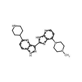 CN1CCN(c2ccnc3[nH]c(-c4n[nH]c5ccc(C6CCNCC6)nc45)nc23)CC1